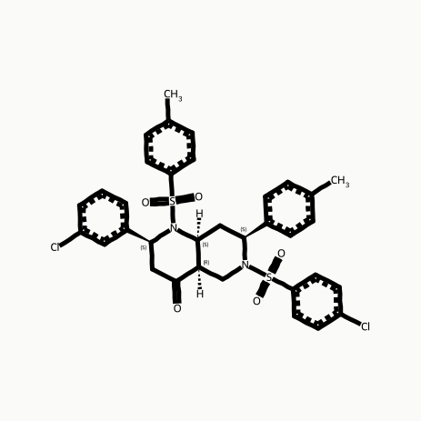 Cc1ccc([C@@H]2C[C@H]3[C@@H](CN2S(=O)(=O)c2ccc(Cl)cc2)C(=O)C[C@@H](c2cccc(Cl)c2)N3S(=O)(=O)c2ccc(C)cc2)cc1